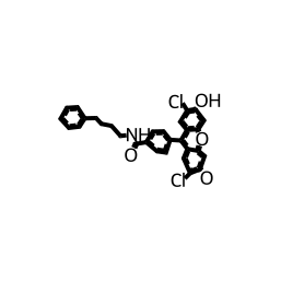 O=C(NCCCCc1ccccc1)c1ccc(-c2c3cc(Cl)c(=O)cc-3oc3cc(O)c(Cl)cc23)cc1